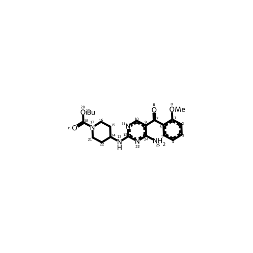 COc1ccccc1C(=O)c1cnc(NC2CCN(C(=O)OCC(C)C)CC2)nc1N